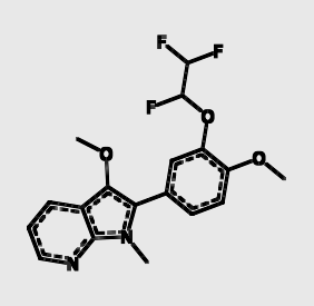 COc1ccc(-c2c(OC)c3cccnc3n2C)cc1OC(F)C(F)F